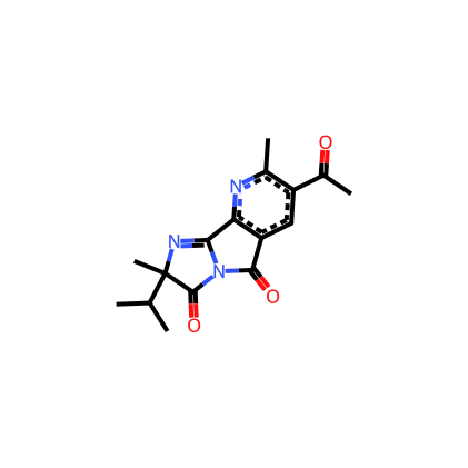 CC(=O)c1cc2c(nc1C)C1=NC(C)(C(C)C)C(=O)N1C2=O